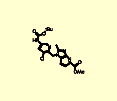 COC(=O)c1ccc2c(n1)nc(C)n2Cc1ncc(NC(=O)OC(C)(C)C)cc1Cl